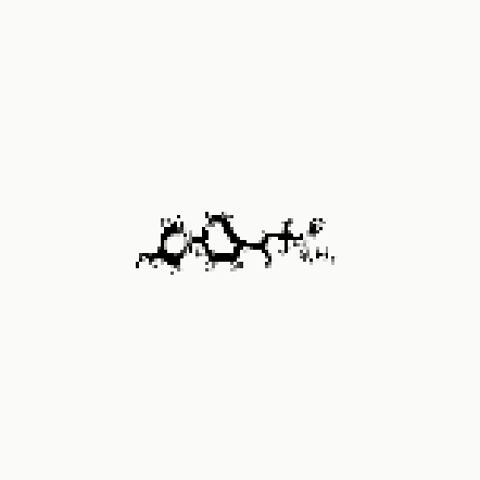 CC(CC(C)(C)[S+](N)[O-])c1ccc(-n2cc(F)cn2)nc1